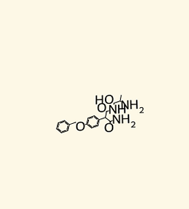 CC(N)C(O)NC(=O)C(C(N)=O)c1ccc(OCc2ccccc2)cc1